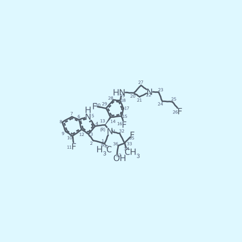 C[C@@H]1Cc2c([nH]c3cccc(F)c23)[C@@H](c2c(F)cc(NC3CN(CCCF)C3)cc2F)N1CC(C)(F)CO